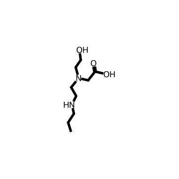 CCCNCCN(CCO)CC(=O)O